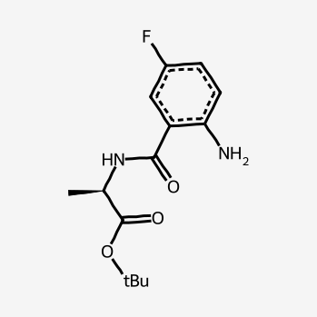 C[C@@H](NC(=O)c1cc(F)ccc1N)C(=O)OC(C)(C)C